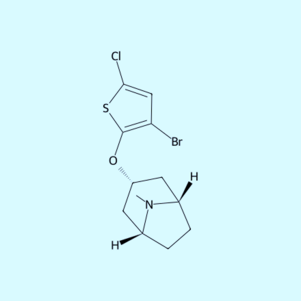 CN1[C@@H]2CC[C@H]1C[C@@H](Oc1sc(Cl)cc1Br)C2